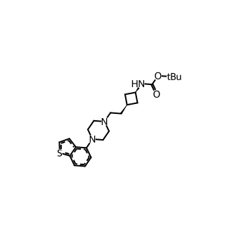 CC(C)(C)OC(=O)N[C@H]1C[C@@H](CCN2CCN(c3cccc4sccc34)CC2)C1